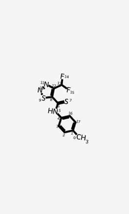 Cc1ccc(NC(=S)c2snnc2C(F)F)cc1